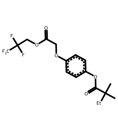 CCC(C)(C)C(=O)Oc1ccc(OCC(=O)OCC(F)(F)C(F)(F)F)cc1